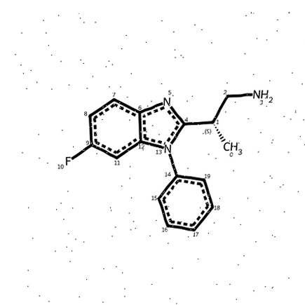 C[C@@H](CN)c1nc2ccc(F)cc2n1-c1ccccc1